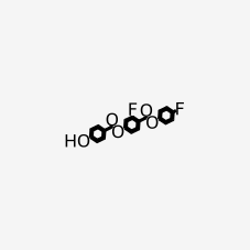 O=C(Oc1ccc(C(=O)Oc2ccc(F)cc2)c(F)c1)c1ccc(O)cc1